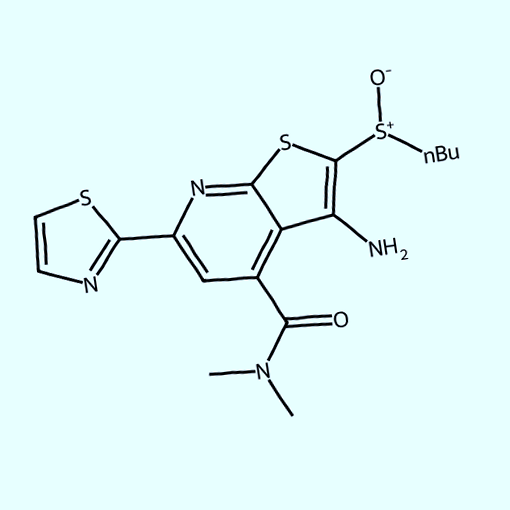 CCCC[S+]([O-])c1sc2nc(-c3nccs3)cc(C(=O)N(C)C)c2c1N